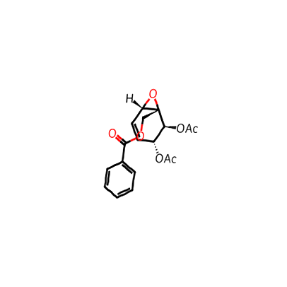 CC(=O)O[C@@H]1C=C[C@@H]2O[C@]2(COC(=O)c2ccccc2)[C@H]1OC(C)=O